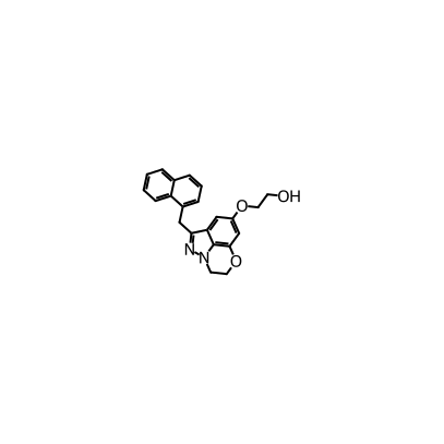 OCCOc1cc2c3c(c1)c(Cc1cccc4ccccc14)nn3CCO2